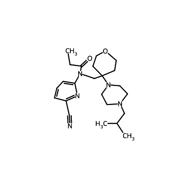 CCC(=O)N(CC1(N2CCN(CC(C)C)CC2)CCOCC1)c1cccc(C#N)n1